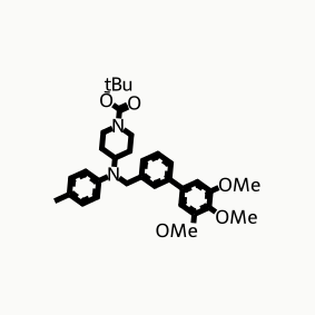 COc1cc(-c2cccc(CN(c3ccc(C)cc3)C3CCN(C(=O)OC(C)(C)C)CC3)c2)cc(OC)c1OC